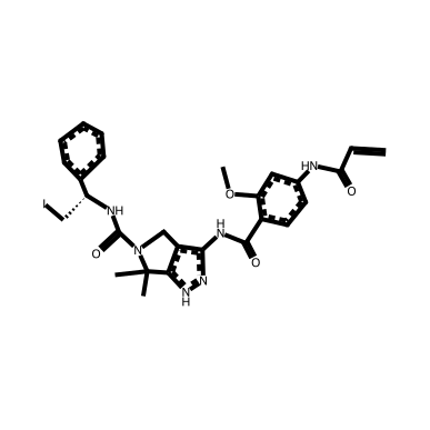 C=CC(=O)Nc1ccc(C(=O)Nc2n[nH]c3c2CN(C(=O)N[C@H](CI)c2ccccc2)C3(C)C)c(OC)c1